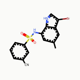 Cc1cc(NS(=O)(=O)c2cccc(C#N)c2)c2[nH]cc(Br)c2c1